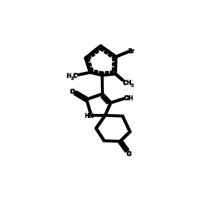 Cc1ccc(Br)c(C)c1C1=C(O)C2(CCC(=O)CC2)NC1=O